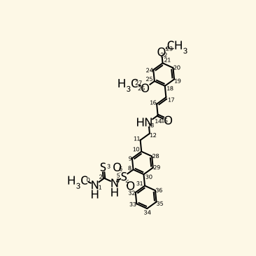 CNC(=S)NS(=O)(=O)c1cc(CCNC(=O)/C=C/c2ccc(OC)cc2OC)ccc1-c1ccccc1